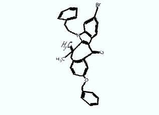 CC1(C)c2ccc(OCc3ccccc3)cc2C(=O)c2c1n(Cc1ccccc1)c1cc(Br)ccc21